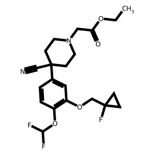 CCOC(=O)CN1CCC(C#N)(c2ccc(OC(F)F)c(OCC3(F)CC3)c2)CC1